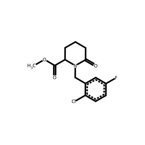 COC(=O)C1CCCC(=O)N1Cc1cc(F)ccc1Cl